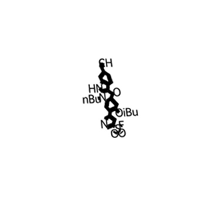 C#Cc1ccc2c(c1)[nH]c1c2c(=O)c2cc(OCC(C)C)c(-c3cncc(S(=O)(=O)F)c3)cc2n1CCCC